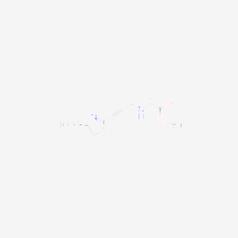 CC(C)(C)OC(=O)CNCC#Cc1nc(C(=O)O)cs1